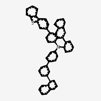 c1cc(-c2ccc(N(c3ccc(-c4ccc5c(c4)sc4ccccc45)cc3)c3ccccc3-c3ccc4ccccc4c3)cc2)cc(-c2cccc3ccccc23)c1